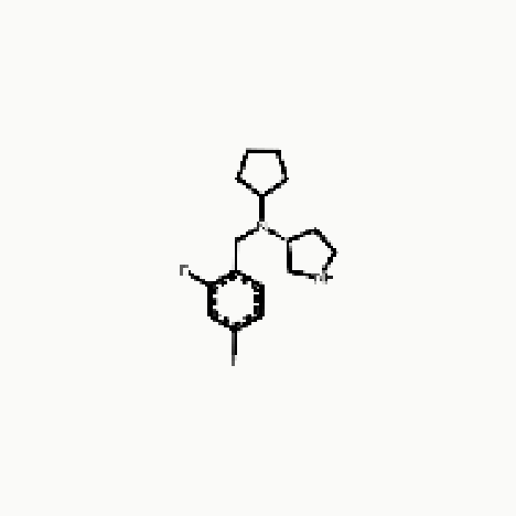 Fc1ccc(CN(C2CCCC2)[C@H]2CCNC2)c(F)c1